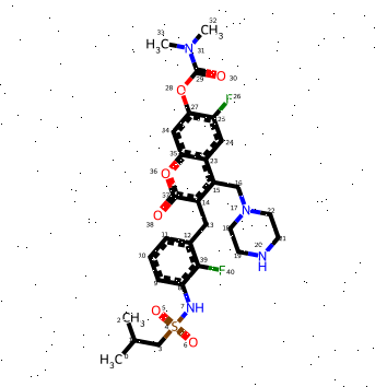 CC(C)CS(=O)(=O)Nc1cccc(Cc2c(CN3CCNCC3)c3cc(F)c(OC(=O)N(C)C)cc3oc2=O)c1F